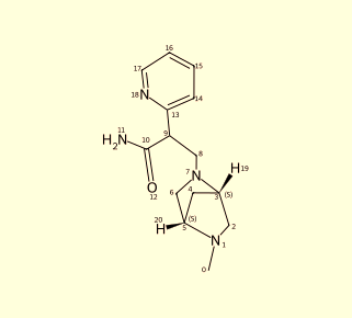 CN1C[C@@H]2C[C@H]1CN2CC(C(N)=O)c1ccccn1